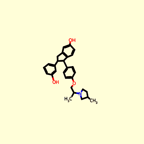 CC1CCN(C(C)COc2ccc(C3c4ccc(O)cc4CC3c3cccc(O)c3)cc2)C1